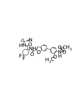 COc1cc(-c2ccc3cc(C(=O)NC4(C(=O)NC5(C#N)CC5)CCC(F)(F)CC4)oc3c2)ccc1NS(C)(=O)=O